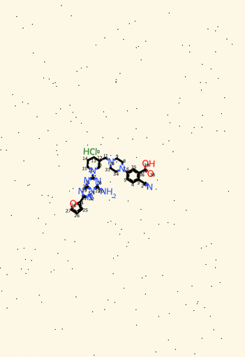 Cl.N#Cc1ccc(N2CCN(CC3CCCN(c4nc(N)n5nc(-c6ccco6)nc5n4)C3)CC2)cc1C(=O)O